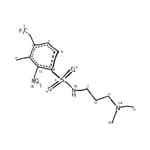 Cc1c(C(F)(F)F)ccc(S(=O)(=O)NCCCN(C)C)c1[N+](=O)[O-]